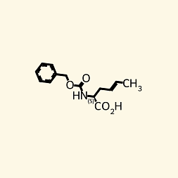 CC=CC[C@H](NC(=O)OCc1ccccc1)C(=O)O